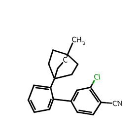 CC12CCC(c3ccccc3-c3ccc(C#N)c(Cl)c3)(CC1)CC2